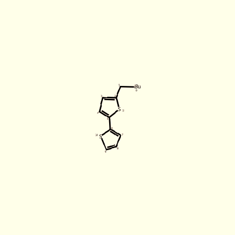 CCC(C)Cc1ccc(-c2cccs2)s1